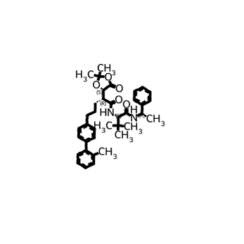 Cc1ccccc1-c1ccc(CCC[C@@H](C(=O)N[C@H](C(=O)N[C@H](C)c2ccccc2)C(C)(C)C)[C@@H]2OC(C)(C)OC2=O)cc1